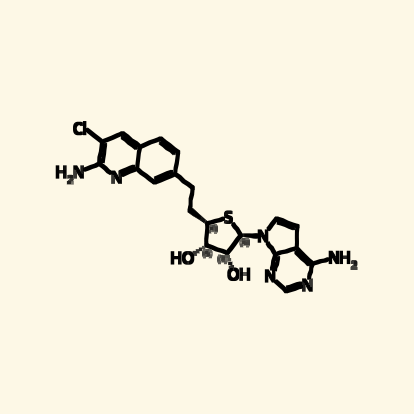 Nc1nc2cc(CC[C@H]3S[C@@H](n4ccc5c(N)ncnc54)[C@H](O)[C@@H]3O)ccc2cc1Cl